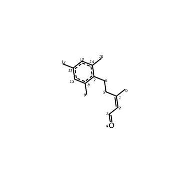 C/C(=C/C=O)CCc1c(C)cc(C)cc1C